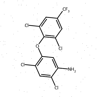 Nc1cc(Oc2c(Cl)cc(C(F)(F)F)cc2Cl)c(Cl)cc1Cl